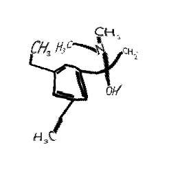 [CH2]C(O)(c1cc(CC)cc(CC)c1)N(C)C